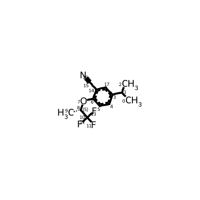 CC(C)c1ccc(O[C@@H](C)C(F)(F)F)c(C#N)c1